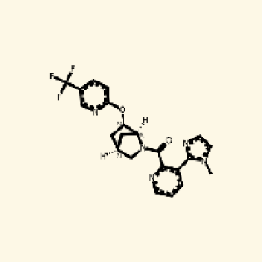 Cn1ccnc1-c1cccnc1C(=O)N1C[C@H]2C[C@@H](Oc3ccc(C(F)(F)F)cn3)[C@@H]1C2